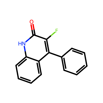 O=c1[nH]c2ccccc2c(-c2ccccc2)c1F